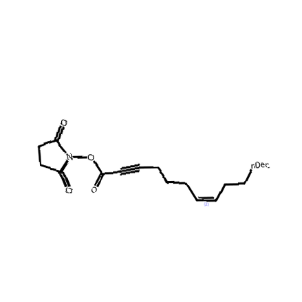 CCCCCCCCCCCC/C=C\CCCC#CC(=O)ON1C(=O)CCC1=O